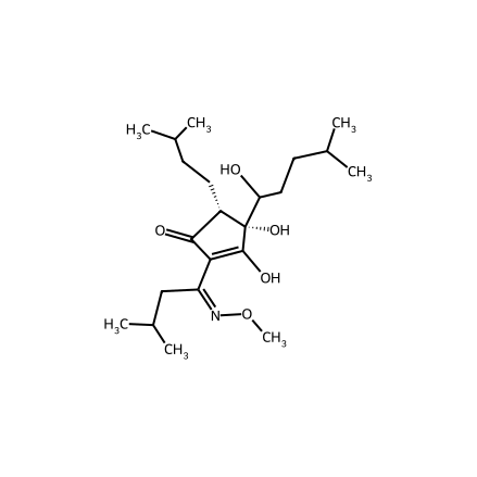 CO/N=C(/CC(C)C)C1=C(O)[C@](O)(C(O)CCC(C)C)[C@@H](CCC(C)C)C1=O